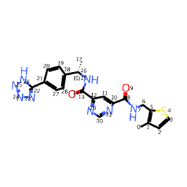 Cc1ccsc1CNC(=O)c1cc(C(=O)N[C@@H](C)c2ccc(-c3nnn[nH]3)cc2)ncn1